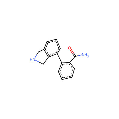 NC(=O)c1ccccc1-c1cccc2c1CNC2